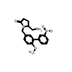 COc1ccc(CN2C(=O)CCC2CN)cc1-c1cccc([N+](=O)[O-])c1